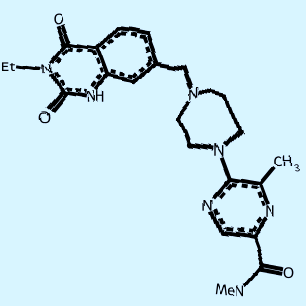 CCn1c(=O)[nH]c2cc(CN3CCN(c4ncc(C(=O)NC)nc4C)CC3)ccc2c1=O